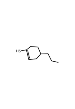 CCCC1CC=C(S)CC1